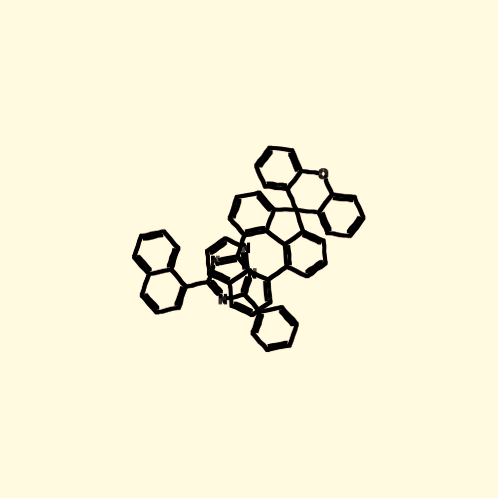 c1ccc(-c2nc(-c3cccc4c3-c3c(-c5cccc6cccnc56)cccc3C43c4ccccc4Oc4ccccc43)nc(-c3cccc4ccccc34)n2)cc1